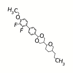 CCCC1CCC(C2COC(c3ccc(-c4ccc(OCC)c(F)c4F)cc3)OC2)OC1